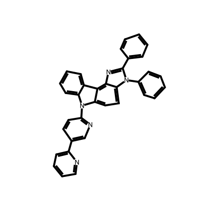 c1ccc(-c2nc3c4c5ccccc5n(-c5ccc(-c6ccccn6)cn5)c4ccc3n2-c2ccccc2)cc1